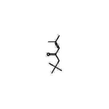 CC(C)=CC(=O)CC(C)(C)C